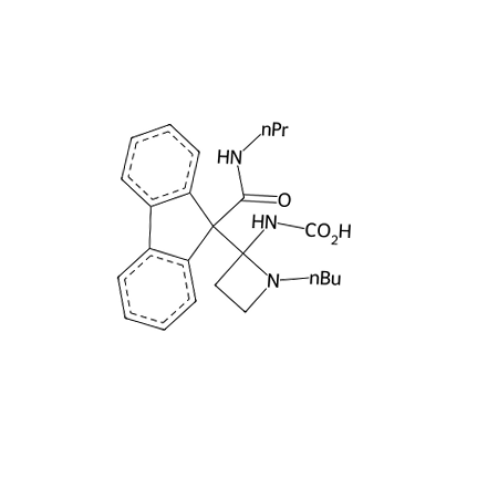 CCCCN1CCC1(NC(=O)O)C1(C(=O)NCCC)c2ccccc2-c2ccccc21